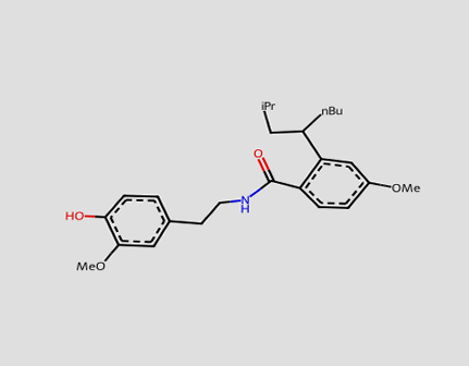 CCCCC(CC(C)C)c1cc(OC)ccc1C(=O)NCCc1ccc(O)c(OC)c1